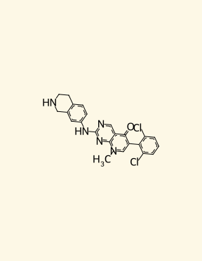 Cn1cc(-c2c(Cl)cccc2Cl)c(=O)c2cnc(Nc3ccc4c(c3)CNCC4)nc21